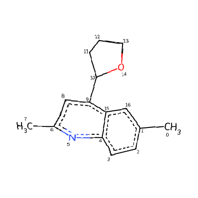 Cc1ccc2nc(C)cc(C3CCCO3)c2c1